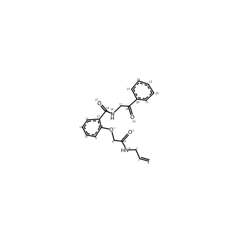 C=CCNC(=O)COc1ccccc1C(=O)NCC(=O)c1ccccc1